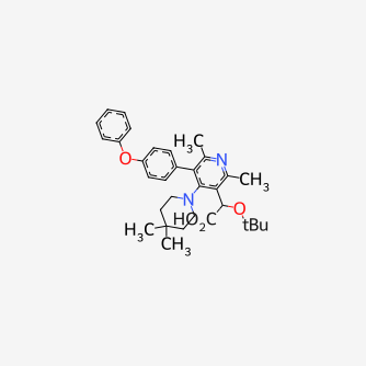 Cc1nc(C)c(C(OC(C)(C)C)C(=O)O)c(N2CCC(C)(C)CC2)c1-c1ccc(Oc2ccccc2)cc1